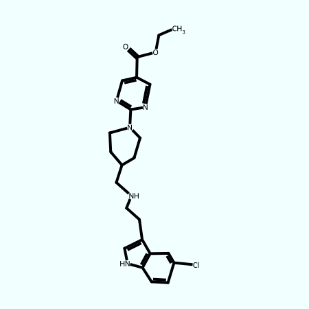 CCOC(=O)c1cnc(N2CCC(CNCCc3c[nH]c4ccc(Cl)cc34)CC2)nc1